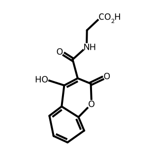 O=C(O)CNC(=O)c1c(O)c2ccccc2oc1=O